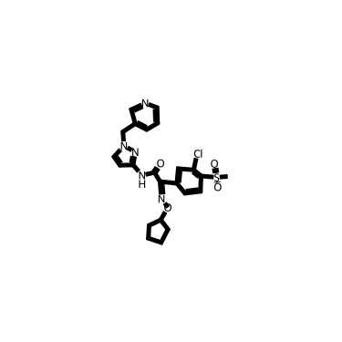 CS(=O)(=O)c1ccc(/C(=N\OC2CCCC2)C(=O)Nc2ccn(Cc3cccnc3)n2)cc1Cl